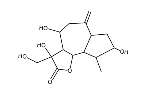 C=C1CC(O)C2C(OC(=O)C2(O)CO)C2C1CC(O)C2C